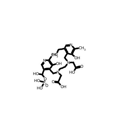 Cc1ncc(CO)c(CN(CCN(CC(=O)O)Cc2c(C(O)OP(=O)(O)O)cnc(C)c2O)CC(=O)O)c1O